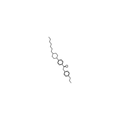 CCCCCCCC1CCC(c2ccc(C(=O)Cc3ccc(CCC)cc3)cc2)CC1